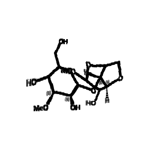 COC1OC2CO[C@@H](C1O)[C@@H]2OC1OC(CO)C(O)[C@H](OC)[C@@H]1O